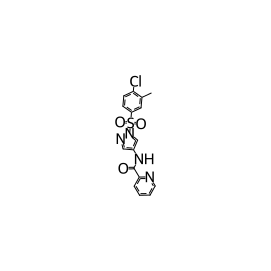 Cc1cc(S(=O)(=O)n2cc(NC(=O)c3ccccn3)cn2)ccc1Cl